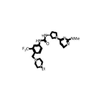 CCN1CCN(Cc2ccc(NC(=O)N[C@H]3CCN(c4ccnc(NC)n4)C3)cc2C(F)(F)F)CC1